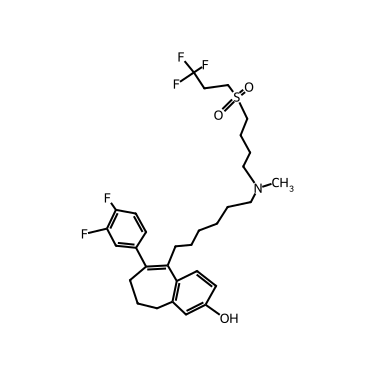 CN(CCCCCCC1=C(c2ccc(F)c(F)c2)CCCc2cc(O)ccc21)CCCCS(=O)(=O)CCC(F)(F)F